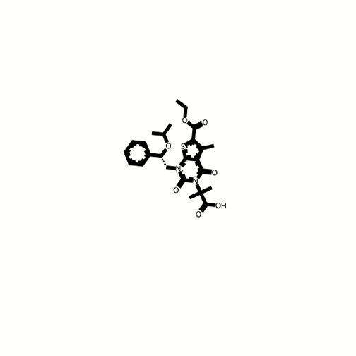 CCOC(=O)c1sc2c(c1C)c(=O)n(C(C)(C)C(=O)O)c(=O)n2C[C@@H](OC(C)C)c1ccccc1